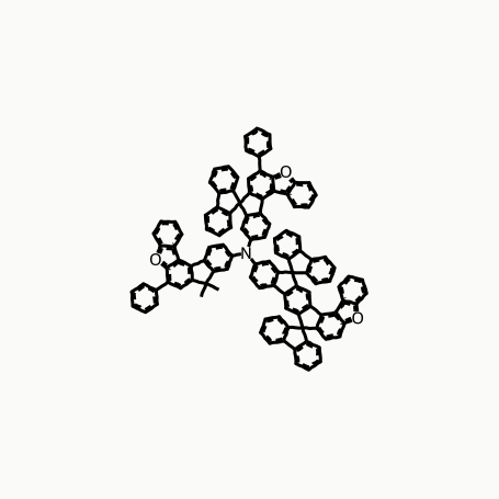 CC1(C)c2cc(N(c3ccc4c(c3)C3(c5ccccc5-c5ccccc53)c3cc5c(cc3-4)C3(c4ccccc4-c4ccccc43)c3ccc4oc6ccccc6c4c3-5)c3ccc4c(c3)C3(c5ccccc5-c5ccccc53)c3cc(-c5ccccc5)c5oc6ccccc6c5c3-4)ccc2-c2c1cc(-c1ccccc1)c1oc3ccccc3c21